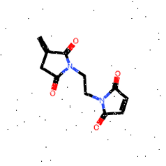 C=C1CC(=O)N(CCN2C(=O)C=CC2=O)C1=O